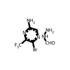 NNC=O.Nc1cnc(Br)c(C(F)(F)F)n1